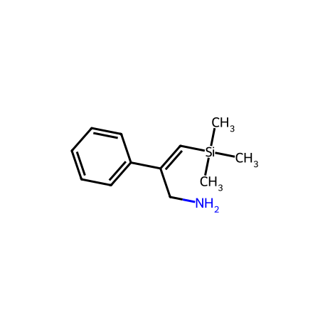 C[Si](C)(C)C=C(CN)c1ccccc1